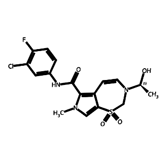 C[C@H](O)N1C=Cc2c(cn(C)c2C(=O)Nc2ccc(F)c(Cl)c2)S(=O)(=O)C1